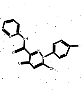 Cc1cc(=O)c(C(=O)Nc2ccccn2)nn1-c1ccc(Cl)cc1